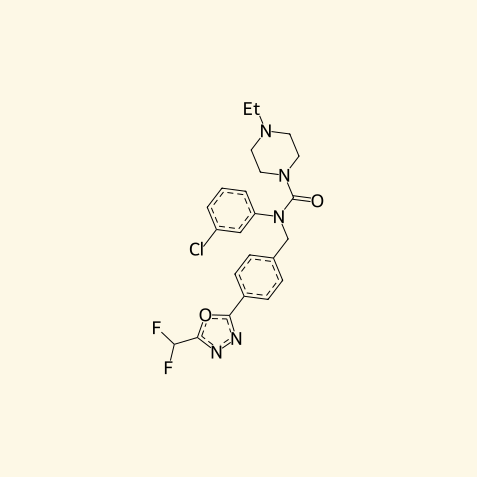 CCN1CCN(C(=O)N(Cc2ccc(-c3nnc(C(F)F)o3)cc2)c2cccc(Cl)c2)CC1